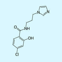 O=C(NCCCn1ccnc1)c1ccc(Cl)cc1O